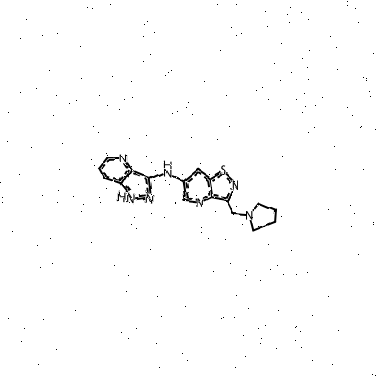 c1cnc2c(Nc3cnc4c(CN5CCCC5)nsc4c3)n[nH]c2c1